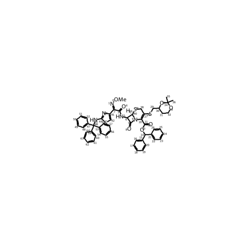 CO/N=C(\C(=O)NC1C(=O)N2C(C(=O)OC(c3ccccc3)c3ccccc3)=C(SCC3CCOC(C)(C)O3)CS[C@H]12)c1csc(NC(c2ccccc2)(c2ccccc2)c2ccccc2)n1